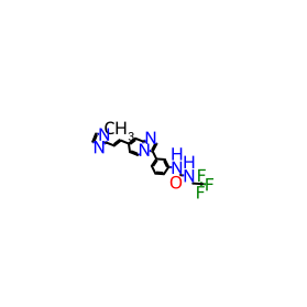 Cn1ccnc1/C=C/c1ccn2c(-c3cccc(NC(=O)NCC(F)(F)F)c3)cnc2c1